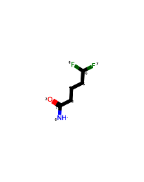 [NH]C(=O)CCCC(F)F